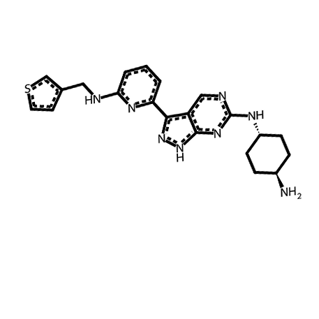 N[C@H]1CC[C@H](Nc2ncc3c(-c4cccc(NCc5ccsc5)n4)n[nH]c3n2)CC1